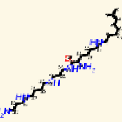 CC(C)=CCC[C@H](C)CCNCCCC[C@@H](N)C(=O)NCCCNCCCCNCCCN